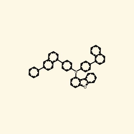 c1ccc(-c2ccc3c(-c4ccc(N(c5ccc(-c6cccc7ccccc67)cc5)c5cccc6oc7ccccc7c56)cc4)cccc3c2)cc1